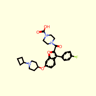 O=C(O)N1CCN(C(=O)c2oc3cc(OC4CCN(C5CCC5)CC4)ccc3c2-c2ccc(F)cc2)CC1